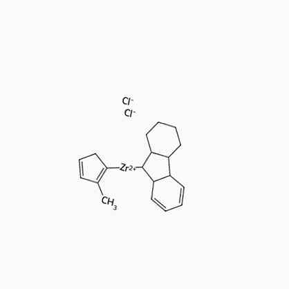 CC1=[C]([Zr+2][CH]2C3C=CC=CC3C3CCCCC32)CC=C1.[Cl-].[Cl-]